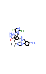 CN1CCN(c2ccc(N)cc2CNC[C@@H]2C[C@@H]3C[C@H]2[C@@H](Nc2nc(Cl)ncc2F)[C@H]3C(N)=O)CC1